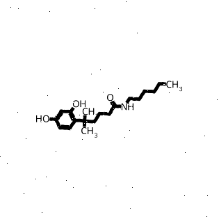 CCCCCCNC(=O)CCCC(C)(C)c1ccc(O)cc1O